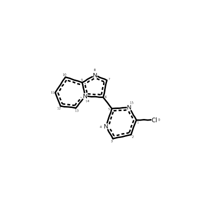 Clc1ccnc(-c2cnc3ccccn23)n1